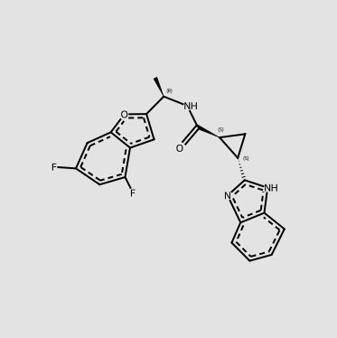 C[C@@H](NC(=O)[C@H]1C[C@@H]1c1nc2ccccc2[nH]1)c1cc2c(F)cc(F)cc2o1